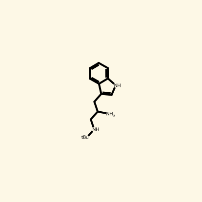 CC(C)(C)NCC(N)Cc1c[nH]c2ccccc12